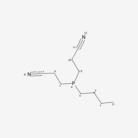 CCCCP(CCC#N)CCC#N